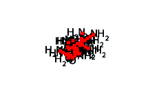 N=C(N)NCCC[C@H](NC(=O)[C@H](CCCNC(=N)N)NC(=O)[C@H](CCCNC(=N)N)NC(=O)[C@H](CCCNC(=N)N)NC(=O)[C@H](CCC(N)=O)NC(=O)[C@H](CCCNC(=N)N)NC(=O)[C@H](CCCCN)NC(=O)[C@@H](N)CCCCN)C(N)=O